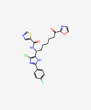 O=C(CCCCC[C@H](NC(=O)c1cncs1)c1[nH]c(-c2ccc(F)cc2)nc1Cl)c1ncco1